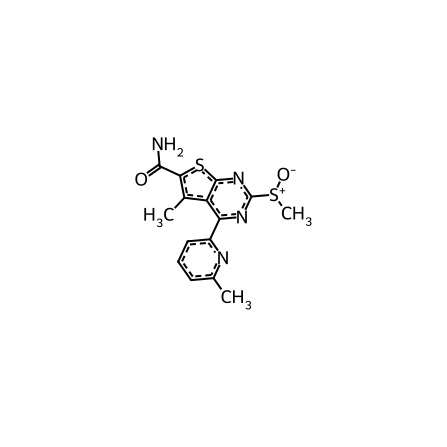 Cc1cccc(-c2nc([S+](C)[O-])nc3sc(C(N)=O)c(C)c23)n1